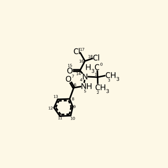 CC(C)(C)N(NC(=O)c1ccccc1)C(=O)C(Cl)Cl